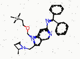 C[C@H]1CCN1Cc1cc2cnc(N=C(c3ccccc3)c3ccccc3)cc2n1COCC[Si](C)(C)C